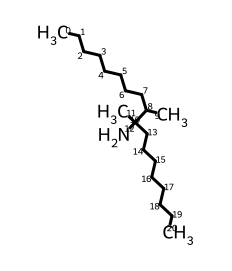 CCCCCCCCC(C)C(C)(N)CCCCCCCC